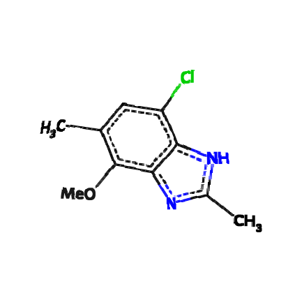 COc1c(C)cc(Cl)c2[nH]c(C)nc12